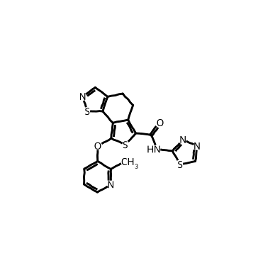 Cc1ncccc1Oc1sc(C(=O)Nc2nncs2)c2c1-c1sncc1CC2